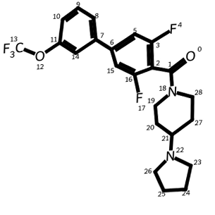 O=C(c1c(F)cc(-c2cccc(OC(F)(F)F)c2)cc1F)N1CCC(N2CCCC2)CC1